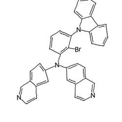 Brc1c(N(c2ccc3cnccc3c2)c2ccc3cnccc3c2)cccc1-n1c2ccccc2c2ccccc21